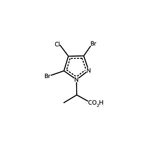 CC(C(=O)O)n1nc(Br)c(Cl)c1Br